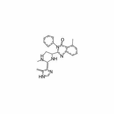 C=c1[nH]cn/c1=C(/NC)NC(CC)c1nc2cccc(C)c2c(=O)n1-c1ccccc1